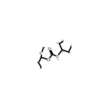 CCC(CC)OC(=O)OC(CC)CC